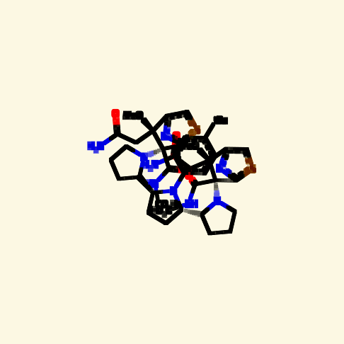 CO[C@@]1(CC(N)=O)c2csc(n2)[C@]1(C(=O)NC(=O)O)N1CCCC1[C@@H]1CC[C@@H](C2CCCN2[C@@]2(C(=O)NC(=O)O)c3nc(cs3)[C@]2(CC(N)=O)OC)N1c1ccc(C(C)(C)C)cc1